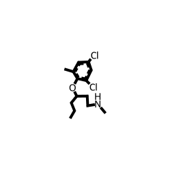 CCCC(CCNC)Oc1c(C)cc(Cl)cc1Cl